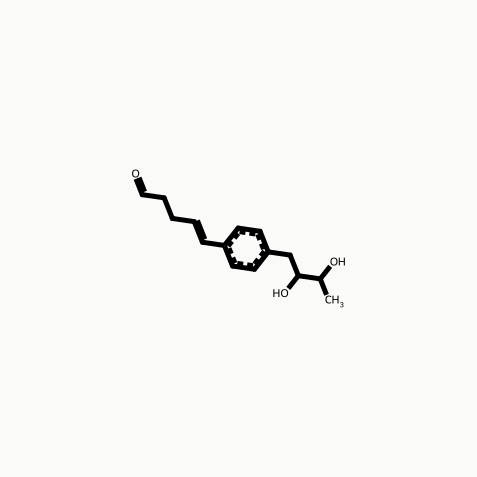 CC(O)C(O)Cc1ccc(C=CCCC=O)cc1